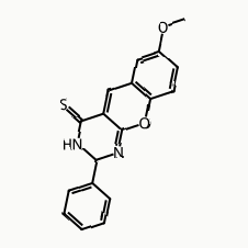 COc1ccc2c(c1)C=C1C(=S)NC(c3ccccc3)N=C1O2